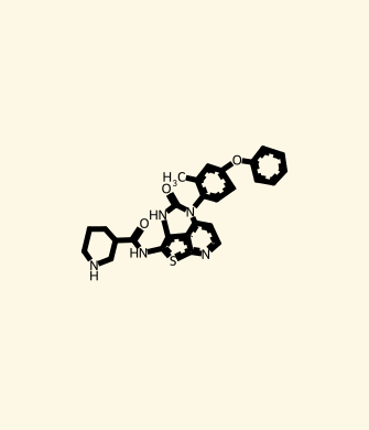 Cc1cc(Oc2ccccc2)ccc1N1C(=O)Nc2c(NC(=O)C3CCCNC3)sc3nccc1c23